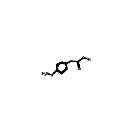 [2H]OC(=O)Cc1ccc(OC)cc1